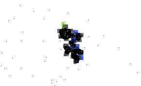 Cc1cc2c(cn1)nc(Cn1ccnc1-c1cccc(F)c1)n2C(C)C